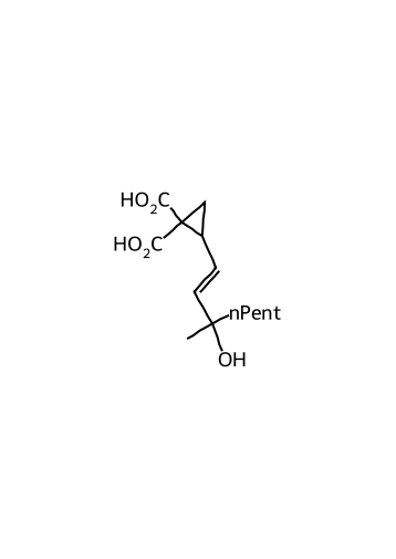 CCCCCC(C)(O)/C=C/C1CC1(C(=O)O)C(=O)O